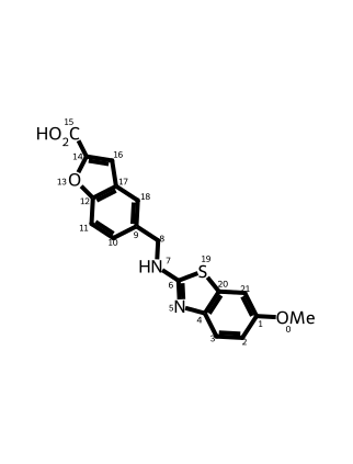 COc1ccc2nc(NCc3ccc4oc(C(=O)O)cc4c3)sc2c1